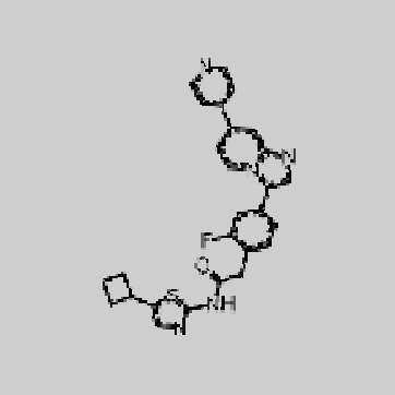 O=C(Cc1ccc(-c2cnc3cc(-c4ccncc4)ccn23)cc1F)Nc1ncc(C2CCC2)s1